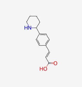 O=C(O)C=Cc1ccc(C2CCCCN2)cc1